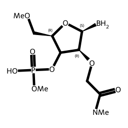 B[C@@H]1O[C@H](COC)C(OP(=O)(O)OC)[C@@H]1OCC(=O)NC